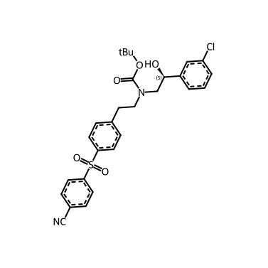 CC(C)(C)OC(=O)N(CCc1ccc(S(=O)(=O)c2ccc(C#N)cc2)cc1)C[C@@H](O)c1cccc(Cl)c1